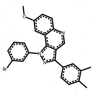 COc1ccc2ncc3c(-c4ccc(C)c(C)c4)nn(-c4cccc(Br)c4)c3c2c1